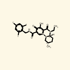 CCN1C(=O)c2c(O)c(=O)c(C(=O)NCc3c(F)cc(F)cc3I)cn2N2C[C@@H](C)CC[C@@H]12